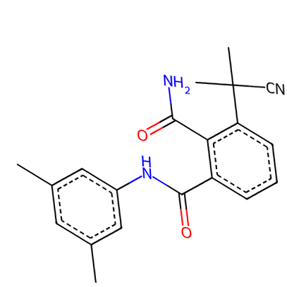 Cc1cc(C)cc(NC(=O)c2cccc(C(C)(C)C#N)c2C(N)=O)c1